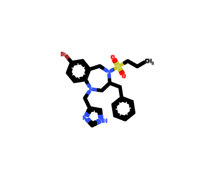 CCCS(=O)(=O)N1Cc2cc(Br)ccc2N(Cc2c[nH]cn2)CC1Cc1ccccc1